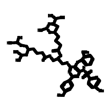 COc1ccc(-c2nc(NS(=O)(=O)c3ccc(C(C)(C)C)cn3)c(Oc3ccccc3OC)c(OCC(COC(=O)CCCC(CON(O)O)ON(O)O)OC(=O)CCCC(CON(O)O)ON(O)O)n2)cc1